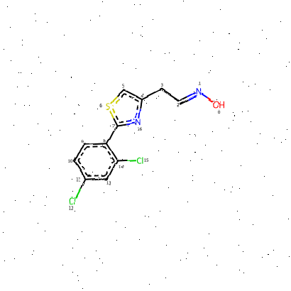 ON=CCc1csc(-c2ccc(Cl)cc2Cl)n1